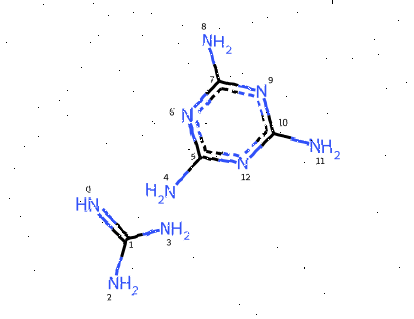 N=C(N)N.Nc1nc(N)nc(N)n1